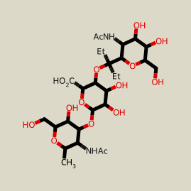 CCC(CC)(OC1C(C(=O)O)OC(OC2C(O)C(CO)OC(C)C2NC(C)=O)C(O)C1O)C1OC(CO)C(O)C(O)C1NC(C)=O